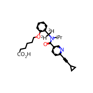 [2H]C([2H])(c1ccccc1OCCCCCC(=O)O)N(C(=O)c1ccc(C#CC2CC2)nc1)C(C)C